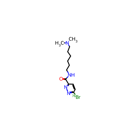 CN(C)CCCCCCNC(=O)c1ccc([76Br])nn1